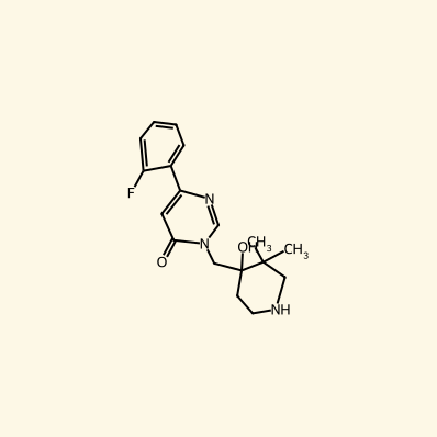 CC1(C)CNCCC1(O)Cn1cnc(-c2ccccc2F)cc1=O